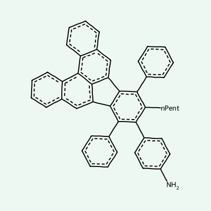 CCCCCc1c(-c2ccc(N)cc2)c(-c2ccccc2)c2c(c1-c1ccccc1)-c1cc3ccccc3c3c1c-2cc1ccccc13